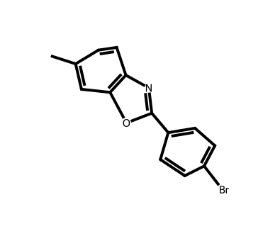 Cc1ccc2nc(-c3ccc(Br)cc3)oc2c1